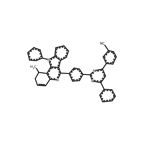 CC1CC=Cc2nc(-c3ccc(-c4nc(-c5ccccc5)cc(-c5cccc(C#N)c5)n4)cc3)c3c4ccccc4n(-c4ccccc4)c3c21